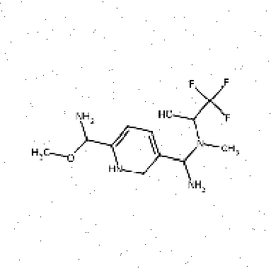 COC(N)C1=CC=C(C(N)N(C)C(O)C(F)(F)F)CN1